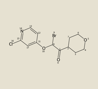 O=C(C1CCOCC1)C(Br)Oc1ccnc(Cl)c1